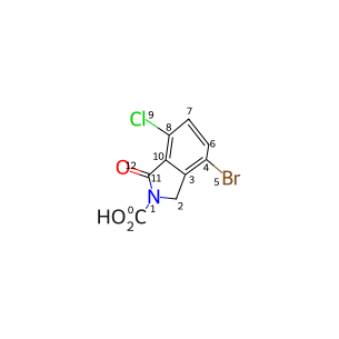 O=C(O)N1Cc2c(Br)ccc(Cl)c2C1=O